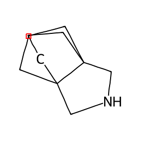 C1NCC23CC4CC12CC4C3